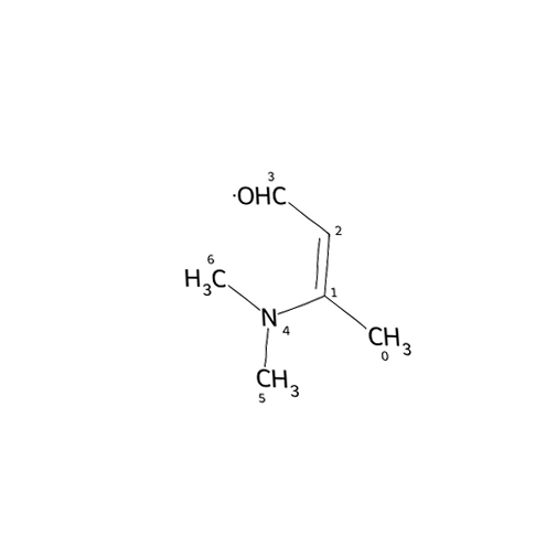 CC(=C[C]=O)N(C)C